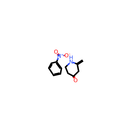 C=C1CC(=O)CCN1.O=[N+]([O-])c1ccccc1